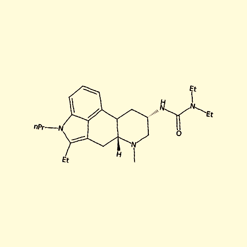 CCCn1c(CC)c2c3c(cccc31)C1C[C@H](NC(=O)N(CC)CC)CN(C)[C@@H]1C2